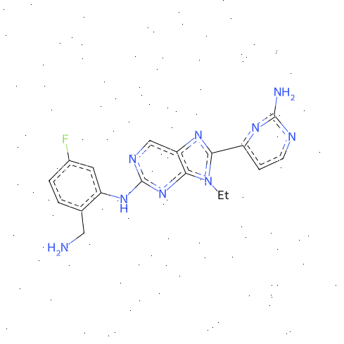 CCn1c(-c2ccnc(N)n2)nc2cnc(Nc3cc(F)ccc3CN)nc21